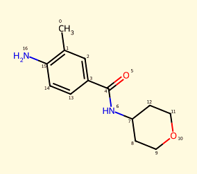 Cc1cc(C(=O)NC2CCOCC2)ccc1N